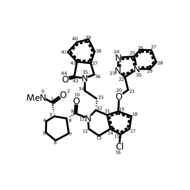 CNC(=O)[C@H]1CCCC[C@H]1C(=O)N1CCc2c(Cl)ccc(OCc3nnc4ccccn34)c2[C@H]1CCN1Cc2ccccc2C1=O